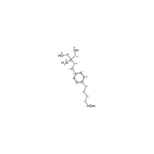 CCCCCCCCCCCCCCc1ccc(OCC(N)(CO)CO)cc1